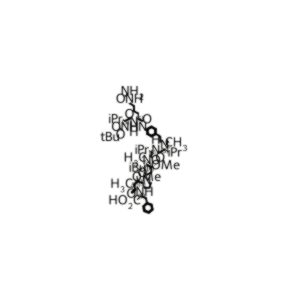 CC[C@H](C)[C@@H]([C@@H](CC(=O)N1CCC[C@H]1[C@H](OC)[C@@H](C)C(=O)N[C@@H](Cc1ccccc1)C(=O)O)OC)N(C)C(=O)[C@@H](NC(=O)[C@H](C(C)C)N(C)CCc1ccc(NC(=O)[C@H](CCCCNC(N)=O)NC(=O)[C@@H](NC(=O)OC(C)(C)C)C(C)C)cc1)C(C)C